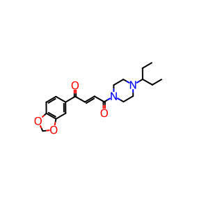 CCC(CC)N1CCN(C(=O)C=CC(=O)c2ccc3c(c2)OCO3)CC1